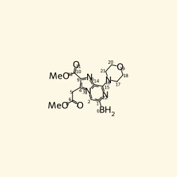 Bc1cn2c(CC(=O)OC)c(C(=O)OC)nc2c(N2CCOCC2)n1